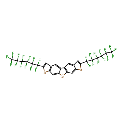 FC(F)(F)C(F)(F)C(F)(F)C(F)(F)C(F)(F)C(F)(F)c1cc2cc3c(cc2s1)sc1cc2sc(C(F)(F)C(F)(F)C(F)(F)C(F)(F)C(F)(F)C(F)(F)F)cc2cc13